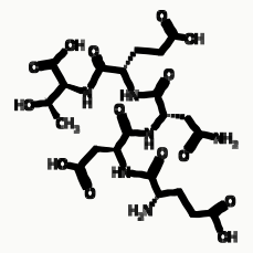 C[C@@H](O)[C@H](NC(=O)[C@H](CCC(=O)O)NC(=O)[C@H](CC(N)=O)NC(=O)[C@H](CC(=O)O)NC(=O)[C@@H](N)CCC(=O)O)C(=O)O